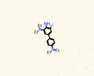 CCN(CC)c1ccc(-c2cc(F)c(N)c(N(CC)CC)c2)cc1